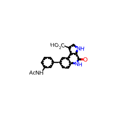 CC(=O)Nc1cccc(-c2ccc3[nH]c(=O)c4[nH]cc(C(=O)O)c4c3c2)c1